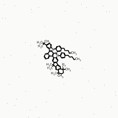 CCCCCc1ccc(N2B3c4cc(CCCCC)ccc4-n4c5ccc(C(C)(C)C)cc5c5c6ccccc6c(c3c54)-c3cc4c(cc32)-c2cc3c(cc2C4(C)C)C(C)(C)CCC3(C)C)cc1